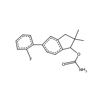 CC1(C)Cc2cc(-c3ccccc3F)ccc2C1OC(N)=O